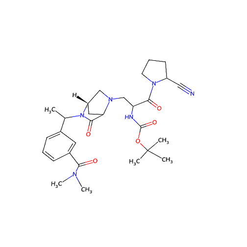 CC(c1cccc(C(=O)N(C)C)c1)N1C(=O)C2C[C@H]1CN2CC(NC(=O)OC(C)(C)C)C(=O)N1CCCC1C#N